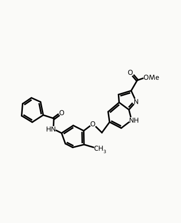 COC(=O)c1cc2cc(COc3cc(NC(=O)c4ccccc4)ccc3C)c[nH]c-2n1